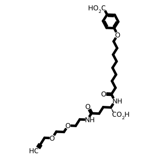 C#CCOCCOCCNC(=O)CC[C@H](NC(=O)CCCCCCCCOc1ccc(C(=O)O)cc1)C(=O)O